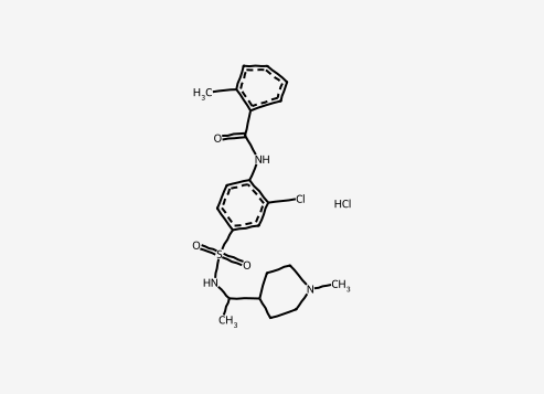 Cc1ccccc1C(=O)Nc1ccc(S(=O)(=O)NC(C)C2CCN(C)CC2)cc1Cl.Cl